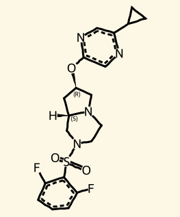 O=S(=O)(c1c(F)cccc1F)N1CCN2C[C@H](Oc3cnc(C4CC4)cn3)C[C@H]2C1